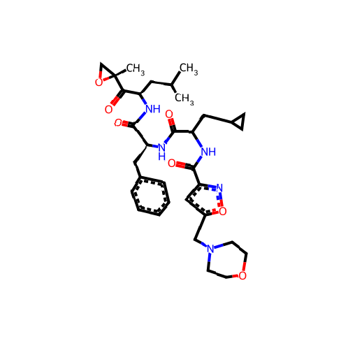 CC(C)CC(NC(=O)[C@H](Cc1ccccc1)NC(=O)C(CC1CC1)NC(=O)c1cc(CN2CCOCC2)on1)C(=O)C1(C)CO1